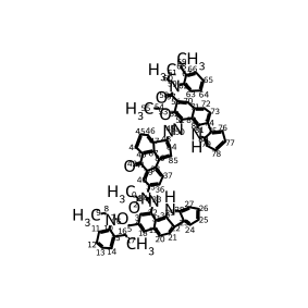 CCOc1c(CON(CC)c2ccccc2CC)cc2ccc3c4ccccc4[nH]c3c2c1N=Nc1ccc2c(c1)C(=O)c1cccc3c(N=Nc4c(OCC)c(C(=O)N(CC)c5ccccc5CC)cc5ccc6c7ccccc7[nH]c6c45)ccc-2c13